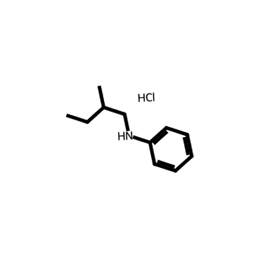 CCC(C)CNc1ccccc1.Cl